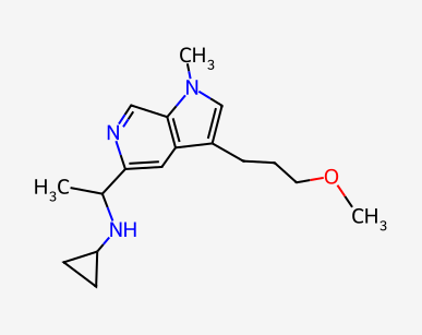 COCCCc1cn(C)c2cnc(C(C)NC3CC3)cc12